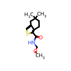 COCNC(=O)c1scc2c1CCC(C)(C)C2